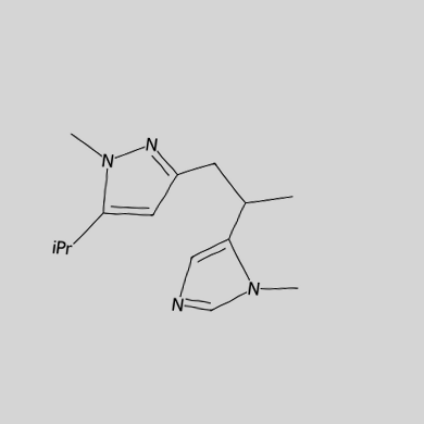 CC(C)c1cc(CC(C)c2cncn2C)nn1C